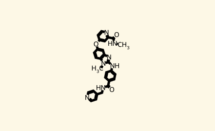 CNC(=O)c1cc(Oc2ccc3c(c2)nc(Nc2ccc(C(=O)NCc4ccncc4)cc2)n3C)ccn1